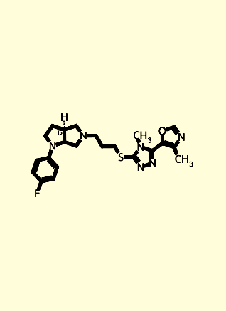 Cc1ncoc1-c1nnc(SCCCN2CC3[C@@H](CCN3c3ccc(F)cc3)C2)n1C